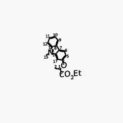 CCOC(=O)C(C)Oc1ccc2c3ccccc3n(C)c2c1